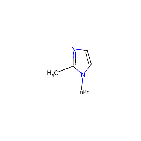 CCCn1[c]cnc1C